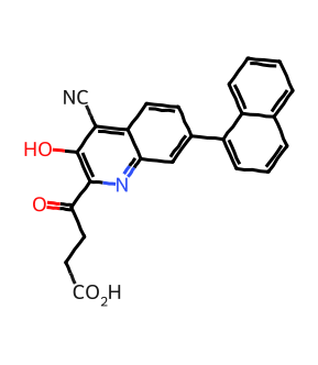 N#Cc1c(O)c(C(=O)CCC(=O)O)nc2cc(-c3cccc4ccccc34)ccc12